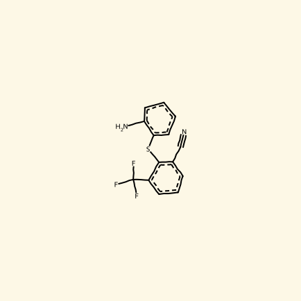 N#Cc1cccc(C(F)(F)F)c1Sc1ccccc1N